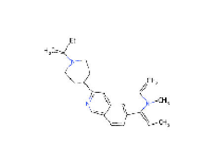 C=CN(C)/C(=C\C)c1ccc2cnc(C3CCN(C(=C)CC)CC3)cc2c1